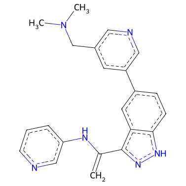 C=C(Nc1cccnc1)c1n[nH]c2ccc(-c3cncc(CN(C)C)c3)cc12